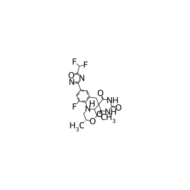 C[C@@H]1CN2c3c(F)cc(-c4noc(C(F)F)n4)cc3CC3(C(=O)NC(=O)NC3=O)[C@H]2[C@H](C)O1